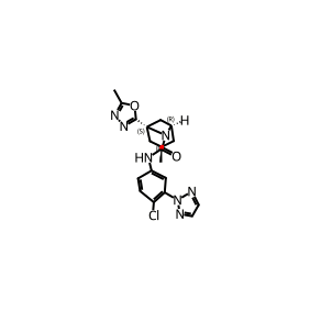 Cc1nnc([C@]23C[C@H](C)C[C@H](C2)N3C(=O)Nc2ccc(Cl)c(-n3nccn3)c2)o1